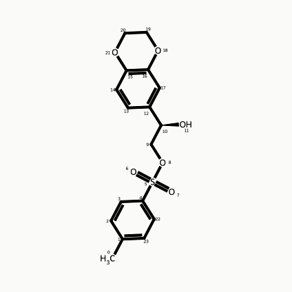 Cc1ccc(S(=O)(=O)OC[C@H](O)c2ccc3c(c2)OCCO3)cc1